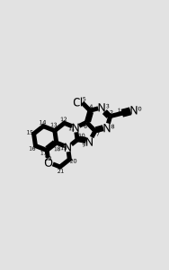 N#Cc1nc(Cl)c2c(n1)nc1n2CC2CCCC3=C2N1CCO3